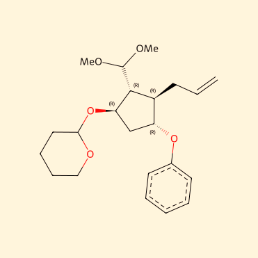 C=CC[C@@H]1[C@@H](C(OC)OC)[C@H](OC2CCCCO2)C[C@H]1Oc1ccccc1